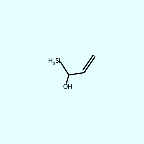 C=CC(O)[SiH3]